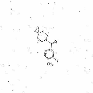 Cc1ccc(C(=O)N2CCC3(CC2)CO3)c[c]1[Y]